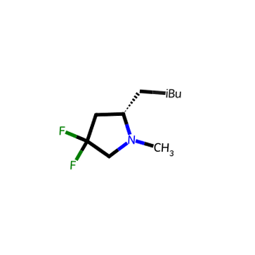 CCC(C)C[C@H]1CC(F)(F)CN1C